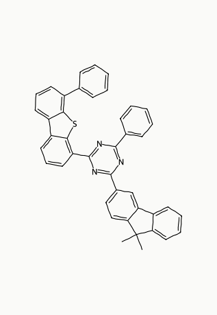 CC1(C)c2ccccc2-c2cc(-c3nc(-c4ccccc4)nc(-c4cccc5c4sc4c(-c6ccccc6)cccc45)n3)ccc21